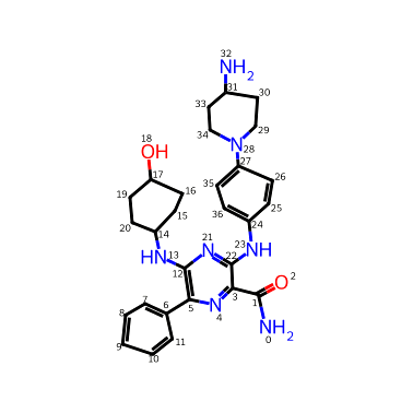 NC(=O)c1nc(-c2ccccc2)c(NC2CCC(O)CC2)nc1Nc1ccc(N2CCC(N)CC2)cc1